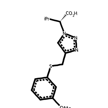 COc1cccc(SCc2cn([C@@H](C(=O)O)C(C)C)nn2)c1